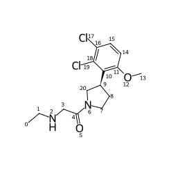 CCNCC(=O)N1CC[C@H](c2c(OC)ccc(Cl)c2Cl)C1